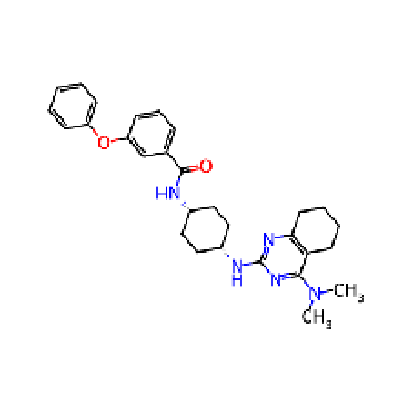 CN(C)c1nc(N[C@H]2CC[C@@H](NC(=O)c3cccc(Oc4ccccc4)c3)CC2)nc2c1CCCC2